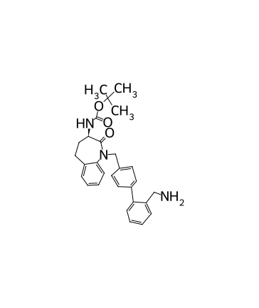 CC(C)(C)OC(=O)N[C@@H]1CCc2ccccc2N(Cc2ccc(-c3ccccc3CN)cc2)C1=O